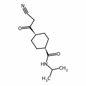 CC(C)NC(=O)[C@H]1CC[C@@H](C(=O)CC#N)CC1